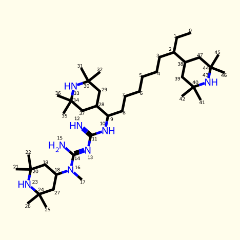 CCC(CCCCCCC(NC(=N)/N=C(\N)N(C)C1CC(C)(C)NC(C)(C)C1)C1CC(C)(C)NC(C)(C)C1)C1CC(C)(C)NC(C)(C)C1